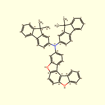 CC1(C)c2ccccc2-c2ccc(N(c3ccc4c(c3)C(C)(C)c3ccccc3-4)c3ccc4c(c3)oc3ccc5oc6ccccc6c5c34)cc21